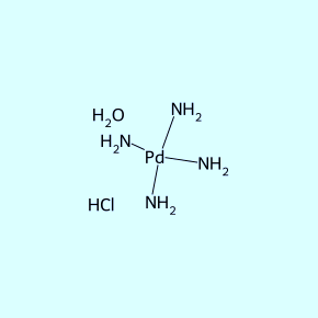 Cl.O.[NH2][Pd]([NH2])([NH2])[NH2]